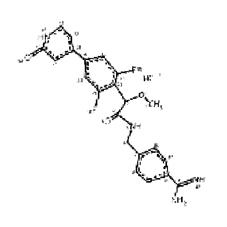 COC(C(=O)NCc1ccc(C(=N)N)cc1)c1c(F)cc(-c2cc[nH]c(=O)c2)cc1F.Cl